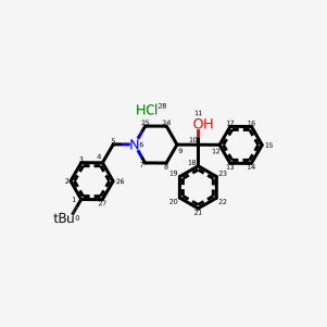 CC(C)(C)c1ccc(CN2CCC(C(O)(c3ccccc3)c3ccccc3)CC2)cc1.Cl